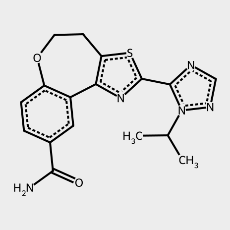 CC(C)n1ncnc1-c1nc2c(s1)CCOc1ccc(C(N)=O)cc1-2